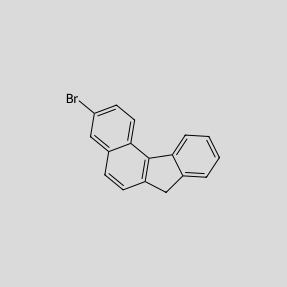 Brc1ccc2c3c(ccc2c1)Cc1ccccc1-3